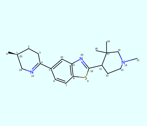 C[C@H]1CCC(c2ccc3sc(C4CCN(C)CC4(C)C)nc3c2)=NC1